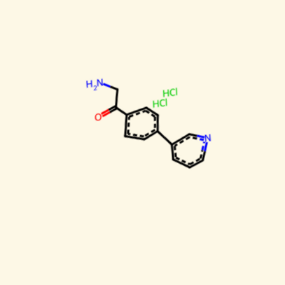 Cl.Cl.NCC(=O)c1ccc(-c2cccnc2)cc1